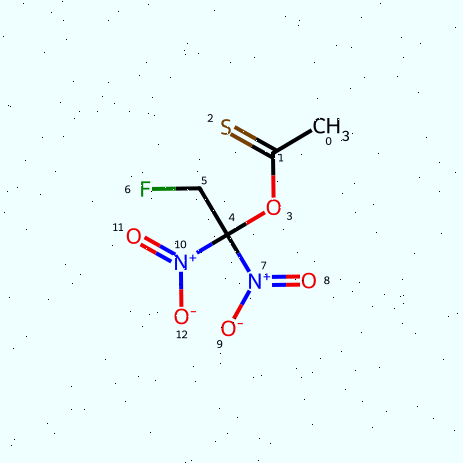 CC(=S)OC(CF)([N+](=O)[O-])[N+](=O)[O-]